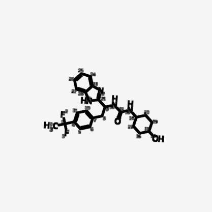 CC(F)(F)c1ccc(CC(NC(=O)NC2CCC(O)CC2)c2nc3ccccc3[nH]2)cc1